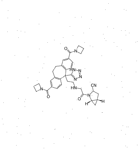 N#CC1C[C@@H]2C[C@@H]2N1C(=O)CNCCC1(c2nnn[nH]2)c2ccc(C(=O)N3CCC3)cc2CCc2cc(C(=O)N3CCC3)ccc21